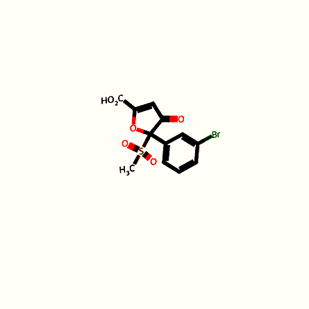 CS(=O)(=O)C1(c2cccc(Br)c2)OC(C(=O)O)=CC1=O